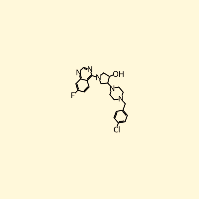 OC1CN(c2ncnc3cc(F)ccc23)CC1N1CCN(Cc2ccc(Cl)cc2)CC1